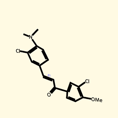 COc1ccc(C(=O)/C=C/c2ccc(N(C)C)c(Cl)c2)cc1Cl